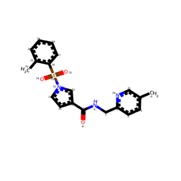 Cc1ccc(CNC(=O)c2ccn(S(=O)(=O)c3ccccc3C)c2)nc1